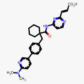 CN(C)c1ccc(-c2ccc(CC3(C(=O)Nc4ccnc(/C=C/C(=O)O)n4)CCCCC3)cc2)cn1